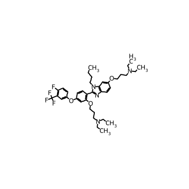 CCCCn1c(-c2ccc(Oc3ccc(F)c(C(F)(F)F)c3)cc2OCCCN(CC)CC)nc2ccc(OCCCN(CC)CC)cc21